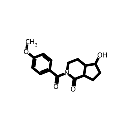 COc1ccc(C(=O)N2CCC3C(O)CCC3C2=O)cc1